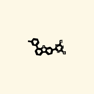 Cc1cccc(-c2cccc3c2oc2cc(-c4nc(Cl)nc(Cl)n4)ccc23)c1